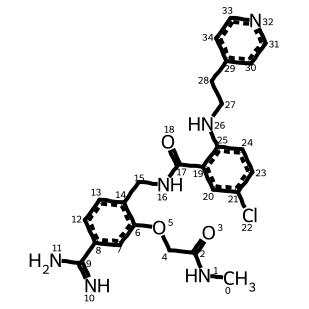 CNC(=O)COc1cc(C(=N)N)ccc1CNC(=O)c1cc(Cl)ccc1NCCc1ccncc1